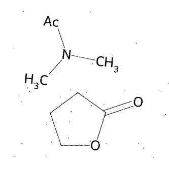 CC(=O)N(C)C.O=C1CCCO1